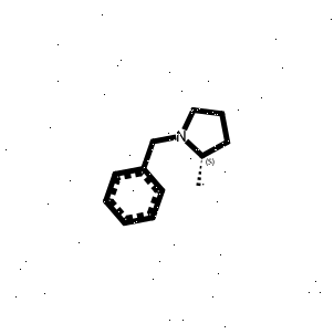 [CH2][C@H]1CCCN1Cc1ccccc1